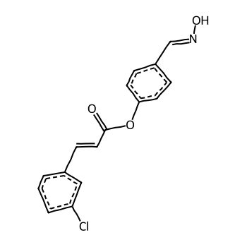 O=C(/C=C/c1cccc(Cl)c1)Oc1ccc(/C=N/O)cc1